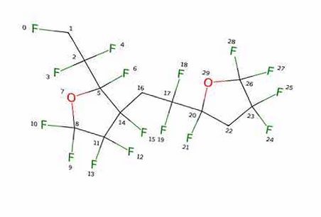 FCC(F)(F)C1(F)OC(F)(F)C(F)(F)C1(F)CC(F)(F)C1(F)CC(F)(F)C(F)(F)O1